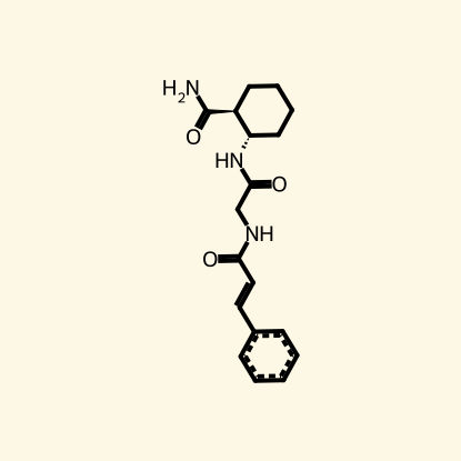 NC(=O)[C@H]1CCCC[C@@H]1NC(=O)CNC(=O)/C=C/c1ccccc1